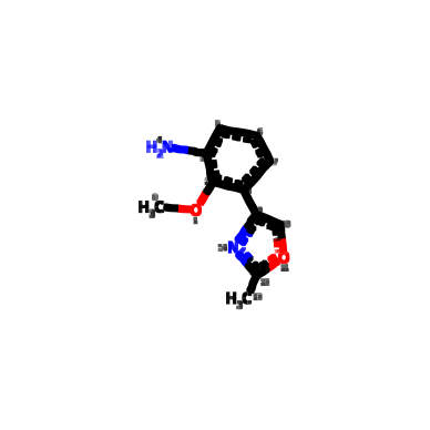 COc1c(N)cccc1-c1coc(C)n1